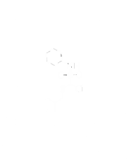 CC(C)CSC(Cl)S(=O)(=O)Nc1ccccc1